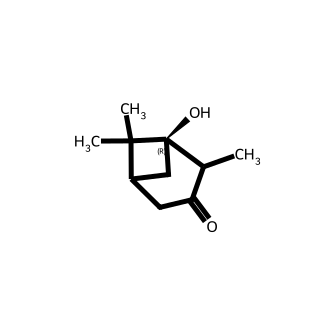 CC1C(=O)CC2C[C@]1(O)C2(C)C